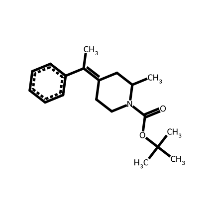 C/C(=C1/CCN(C(=O)OC(C)(C)C)C(C)C1)c1ccccc1